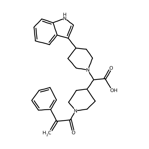 C=C(C(=O)N1CCC(C(C(=O)O)N2CCC(c3c[nH]c4ccccc34)CC2)CC1)c1ccccc1